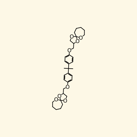 CC(C)(c1ccc(OCC2COC3(CCCCCO3)O2)cc1)c1ccc(OCC2COC3(CCCCCO3)O2)cc1